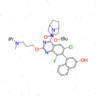 CC(C)N(C)CCCOc1nc(N2CC3CCC(C2)N3C(=O)OC(C)(C)C)c2cc(Cl)c(-c3cc(O)cc4ccccc34)c(F)c2n1